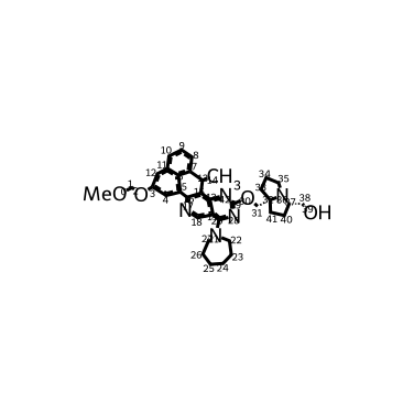 COCOc1cc2c3c(cccc3c1)C(C)c1c-2ncc2c(N3CCCCCC3)nc(OC[C@]34CCCN3[C@H](CO)CC4)nc12